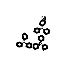 [Ni].c1ccc(P(c2ccccc2)c2ccccc2)cc1.c1ccc(P(c2ccccc2)c2ccccc2)cc1.c1ccc(P(c2ccccc2)c2ccccc2)cc1